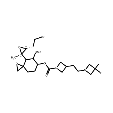 COC1C(OC(=O)N2CC(CCN3CC(F)(F)C3)C2)CCC2(CO2)C1[C@@]1(C)O[C@@H]1CCC(C)C